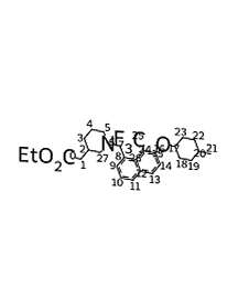 CCOC(=O)CC1CCCN(Cc2cccc3ccc(OC4CCC(C)CC4)c(C(F)(F)F)c23)C1